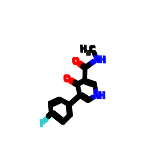 CNC(=O)c1c[nH]cc(-c2ccc(F)cc2)c1=O